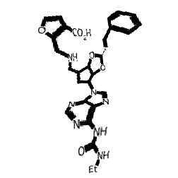 CCNC(=O)Nc1ncnc2c1ncn2C1CC(CNCc2occc2C(=O)O)C2O[C@H](/C=C/c3ccccc3)OC21